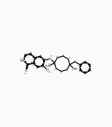 CCCC1(Cc2ccccc2)CCCC(N)(Oc2cc3cc[nH]c(=O)c3cc2Cl)CCC1